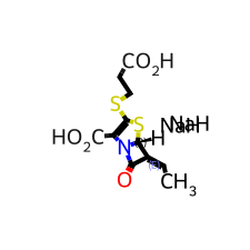 C/C=C1\C(=O)N2C(C(=O)O)=C(SCCC(=O)O)S[C@H]12.[NaH].[NaH]